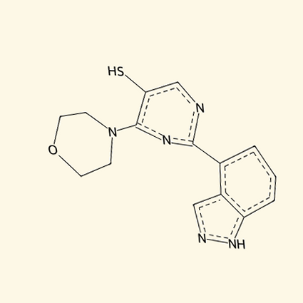 Sc1cnc(-c2cccc3[nH]ncc23)nc1N1CCOCC1